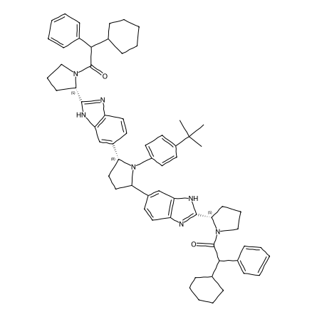 CC(C)(C)c1ccc(N2C(c3ccc4nc([C@@H]5CCCN5C(=O)C(c5ccccc5)C5CCCCC5)[nH]c4c3)CC[C@@H]2c2ccc3nc([C@@H]4CCCN4C(=O)C(c4ccccc4)C4CCCCC4)[nH]c3c2)cc1